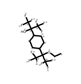 CCOC(C1CCC(C(O)(C(F)(F)F)C(F)(F)F)CC1)(C(F)(F)F)C(F)(F)F